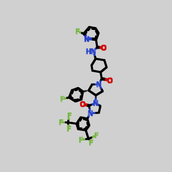 O=C(NC1CCC(C(=O)N2C[C@@H](N3CCN(c4cc(C(F)(F)F)cc(C(F)(F)F)c4)C3=O)[C@H](c3ccc(F)cc3)C2)CC1)c1cccc(F)n1